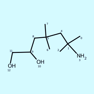 CC(C)(N)CC(C)(C)CC(O)CO